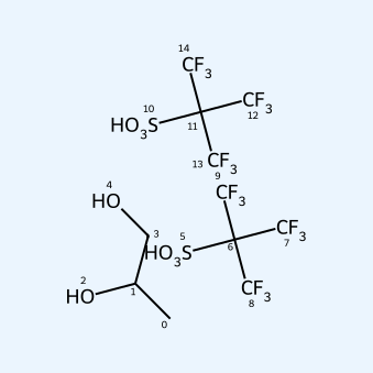 CC(O)CO.O=S(=O)(O)C(C(F)(F)F)(C(F)(F)F)C(F)(F)F.O=S(=O)(O)C(C(F)(F)F)(C(F)(F)F)C(F)(F)F